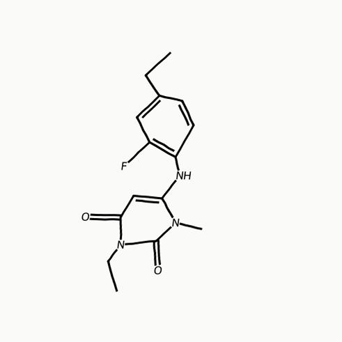 CCc1ccc(Nc2cc(=O)n(CC)c(=O)n2C)c(F)c1